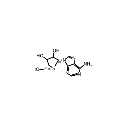 Nc1ncnc2c1ncn2[C@@H]1S[C@H](CO)C(O)C1O